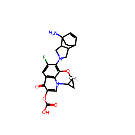 COc1c(N2CC3C4C=CC(N)(CC4)C3C2)c(F)cc2c(=O)c(OC(=O)O)cn(C3CC3)c12